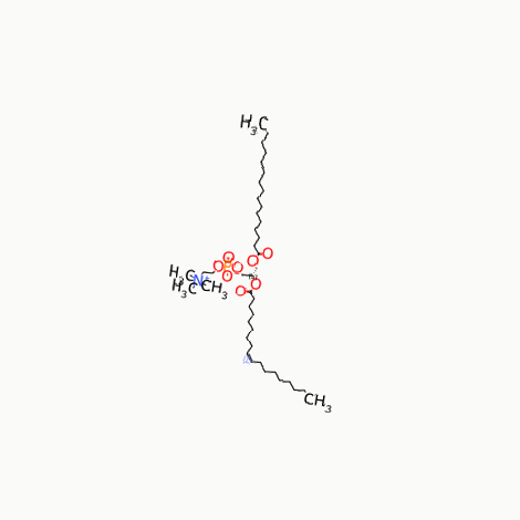 CCCCCCCC/C=C\CCCCCCCC(=O)O[C@@H](COC(=O)CCCCCCCCCCCCCCC)COP(=O)([O-])OCC[N+](C)(C)C